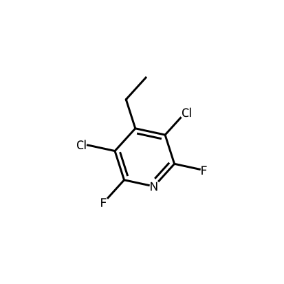 CCc1c(Cl)c(F)nc(F)c1Cl